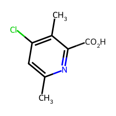 Cc1cc(Cl)c(C)c(C(=O)O)n1